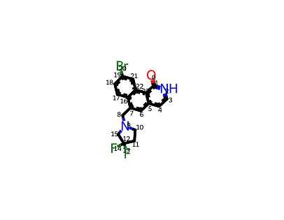 O=c1[nH]ccc2cc(CN3CCC(F)(F)C3)c3ccc(Br)cc3c12